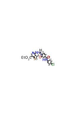 CCOC(=O)c1cnc(N)c2c(COc3cc(C(=O)Nc4ccc(Cl)cc4)ccc3C)csc12